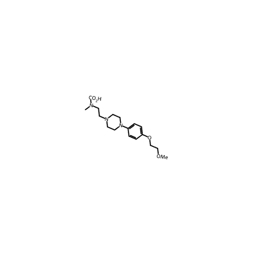 COCCOc1ccc(N2CCN(CCN(C)C(=O)O)CC2)cc1